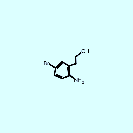 Nc1ccc(Br)cc1CCO